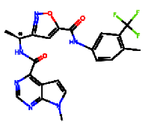 Cc1ccc(NC(=O)c2cc([C@H](C)NC(=O)c3ncnc4c3ccn4C)no2)cc1C(F)(F)F